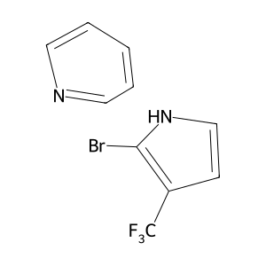 FC(F)(F)c1cc[nH]c1Br.c1ccncc1